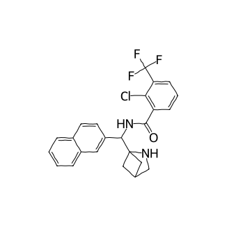 O=C(NC(c1ccc2ccccc2c1)C12CC(CN1)C2)c1cccc(C(F)(F)F)c1Cl